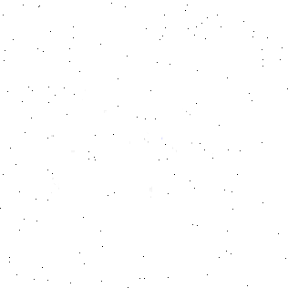 Nc1cc(O)c(/N=N/c2ccccn2)c2ccccc12